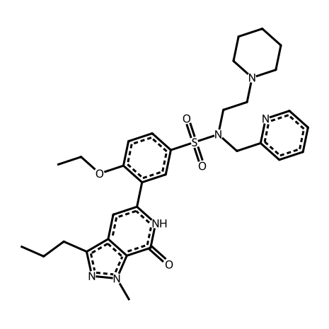 CCCc1nn(C)c2c(=O)[nH]c(-c3cc(S(=O)(=O)N(CCN4CCCCC4)Cc4ccccn4)ccc3OCC)cc12